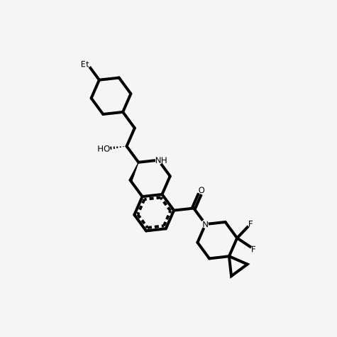 CCC1CCC(C[C@@H](O)[C@@H]2Cc3cccc(C(=O)N4CCC5(CC5)C(F)(F)C4)c3CN2)CC1